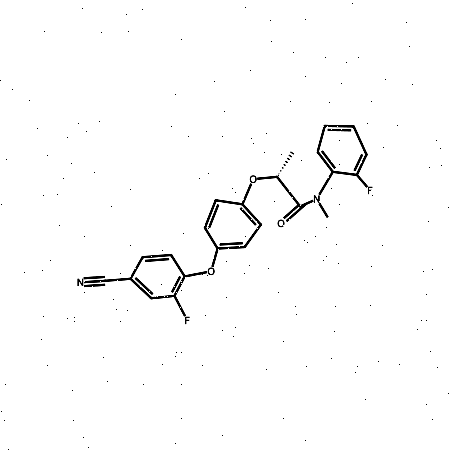 C[C@@H](Oc1ccc(Oc2ccc(C#N)cc2F)cc1)C(=O)N(C)c1ccccc1F